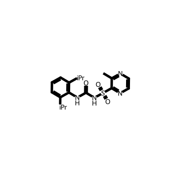 Cc1nccnc1S(=O)(=O)NC(=O)Nc1c(C(C)C)cccc1C(C)C